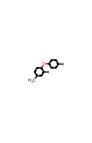 Cc1ccc(Oc2ccc(I)cc2)c(I)c1